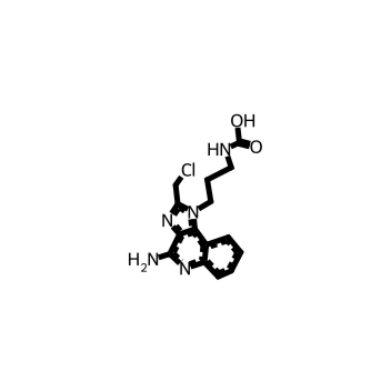 Nc1nc2ccccc2c2c1nc(CCl)n2CCCNC(=O)O